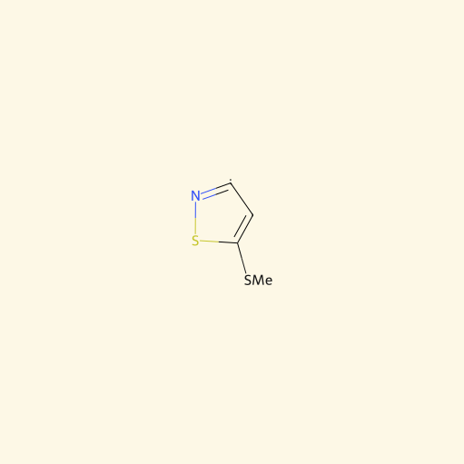 CSc1c[c]ns1